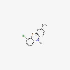 CCN1c2ccc(C=O)cc2Sc2c(Br)cccc21